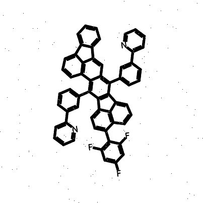 Fc1cc(F)c(-c2ccc3c4c(-c5cccc(-c6ccccn6)c5)c5c(cc6c7ccccc7c7cccc5c76)c(-c5cccc(-c6ccccn6)c5)c4c4cccc2c43)c(F)c1